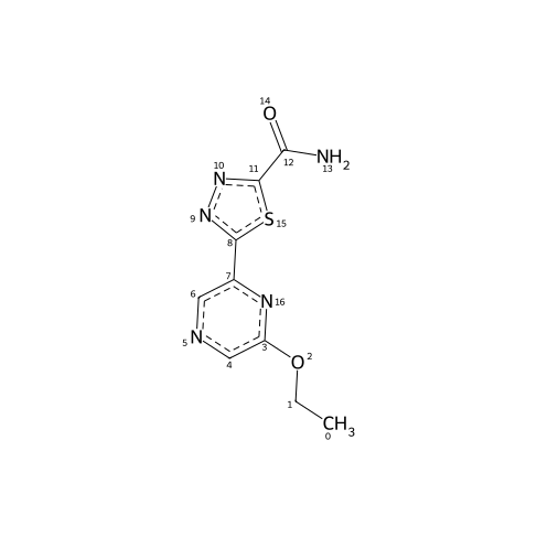 CCOc1cncc(-c2nnc(C(N)=O)s2)n1